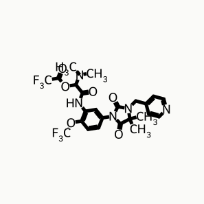 CN(C)C(OC(=O)C(F)(F)F)C(=O)Nc1cc(N2C(=O)N(Cc3ccncc3)C(C)(C)C2=O)ccc1OC(F)(F)F